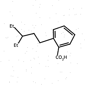 CCC(CC)CCc1ccccc1C(=O)O